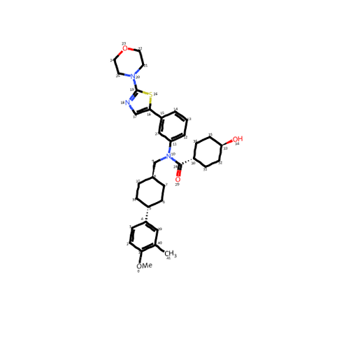 COc1ccc([C@H]2CC[C@H](CN(c3cccc(-c4cnc(N5CCOCC5)s4)c3)C(=O)[C@H]3CC[C@H](O)CC3)CC2)cc1C